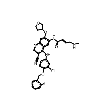 CNC/C=C/C(=O)Nc1cc2c(Nc3ccc(OCc4ccccc4F)c(Cl)c3)c(C#N)cnc2cc1OC1CCOC1